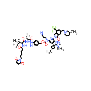 CC(C)[C@H](NC(=O)CCCCCN1C(=O)C=CC1=O)C(=O)N[C@@H](C)C(=O)Nc1ccc(COC(=O)N(CCC#N)c2cc([C@]3(c4nncn4C)C[C@@H](C)C3)cc(N3Cc4c(cc(CN5CCC[C@H](C)C5)cc4C(F)(F)F)C3=O)n2)cc1